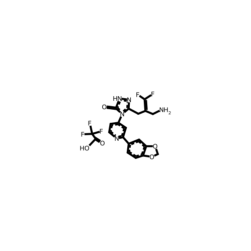 NCC(Cc1n[nH]c(=O)n1-c1ccnc(-c2ccc3c(c2)OCO3)c1)=C(F)F.O=C(O)C(F)(F)F